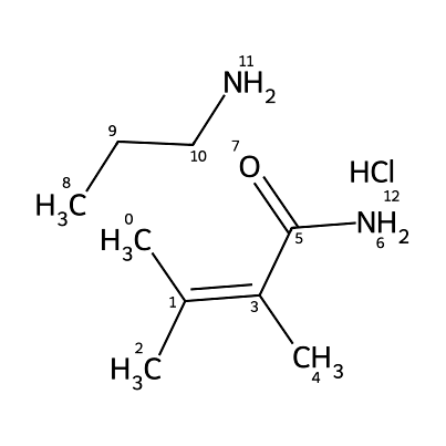 CC(C)=C(C)C(N)=O.CCCN.Cl